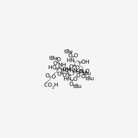 CC(C)(C)OC(=O)NCC1O[C@H](OC2C(O)[C@@H](O[C@H]3OC(COC(=O)CCC(=O)O)[C@@H](O)[C@H](NC(=O)OC(C)(C)C)C3O)[C@H](NC(=O)OC(C)(C)C)C[C@@H]2NC(=O)OC(C)(C)C)C(NC(=O)OC(C)(C)C)C[C@@H]1O